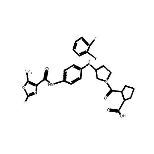 Cc1oc(F)nc1C(=O)Nc1ccc(NC2CCN(C(=O)C3CCCC3C(=O)O)C2)cc1.Fc1ccccc1F